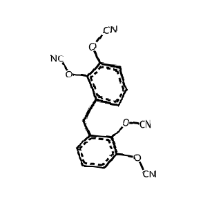 N#COc1cccc(Cc2cccc(OC#N)c2OC#N)c1OC#N